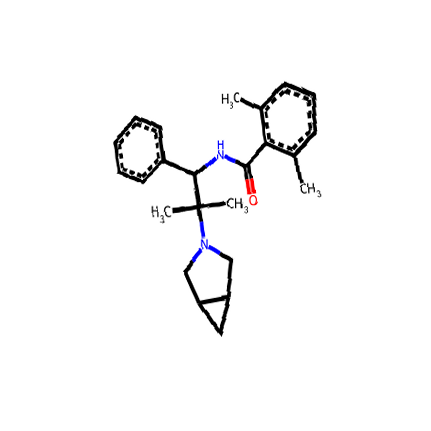 Cc1cccc(C)c1C(=O)NC(c1ccccc1)C(C)(C)N1CC2CC2C1